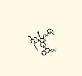 C=CC(=O)N1CCN(c2c(C#N)c(OC[C@@H]3CCCN3C)nc3c2CCN(c2cc(O)cc4ccccc24)C3)C[C@@H]1CC#N